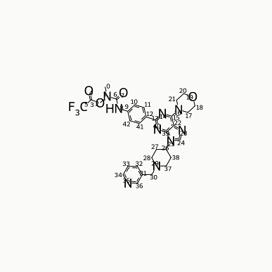 CN(OC(=O)C(F)(F)F)C(=O)Nc1ccc(-c2nc(N3CCOCC3)c3ncn(C4CCN(Cc5cccnc5)CC4)c3n2)cc1